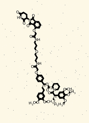 CC[C@H](C(=O)N1CCCC[C@H]1C(=O)O[C@H](CCc1ccc(OC)c(OC)c1)c1ccc(OCC(=O)NCCCOCCCNC(=O)COc2cccc3c2C(=O)N(C2CCC(=O)NC2=O)C3=O)cc1)c1cc(OC)c(OC)c(OC)c1